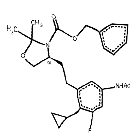 CC(=O)Nc1cc(F)c(C2CC2)c(CC[C@H]2COC(C)(C)N2C(=O)OCc2ccccc2)c1